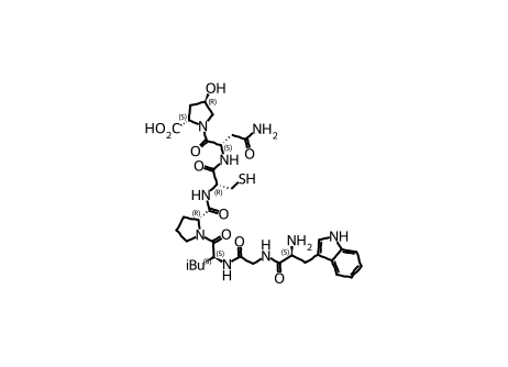 CC[C@H](C)[C@H](NC(=O)CNC(=O)[C@@H](N)Cc1c[nH]c2ccccc12)C(=O)N1CCC[C@@H]1C(=O)N[C@@H](CS)C(=O)N[C@@H](CC(N)=O)C(=O)N1C[C@H](O)C[C@H]1C(=O)O